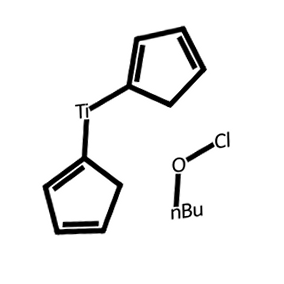 C1=CC[C]([Ti][C]2=CC=CC2)=C1.CCCCOCl